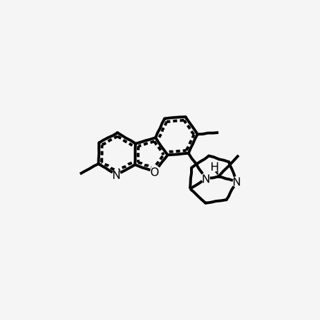 Cc1ccc2c(n1)oc1c(N3C4CCCN(CC4)[C@@H]3C)c(C)ccc12